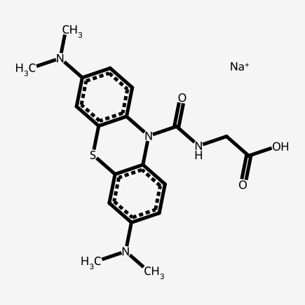 CN(C)c1ccc2c(c1)Sc1cc(N(C)C)ccc1N2C(=O)NCC(=O)O.[Na+]